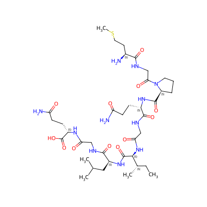 CC[C@H](C)[C@H](NC(=O)CNC(=O)[C@H](CCC(N)=O)NC(=O)[C@@H]1CCCN1C(=O)CNC(=O)[C@@H](N)CCSC)C(=O)N[C@@H](CC(C)C)C(=O)NCC(=O)N[C@@H](CCC(N)=O)C(=O)O